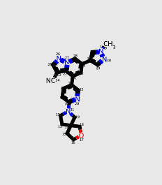 Cn1cc(-c2cc(-c3ccc(N4CCC5(CCOC5)C4)nc3)c3c(C#N)cnn3c2)cn1